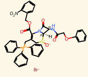 O=C(COc1ccccc1)N[C@@H]1C(=O)N2C(C(=O)OCc3ccccc3[N+](=O)[O-])=C(C[P+](c3ccccc3)(c3ccccc3)c3ccccc3)C[S+]([O-])[C@H]12.[Br-]